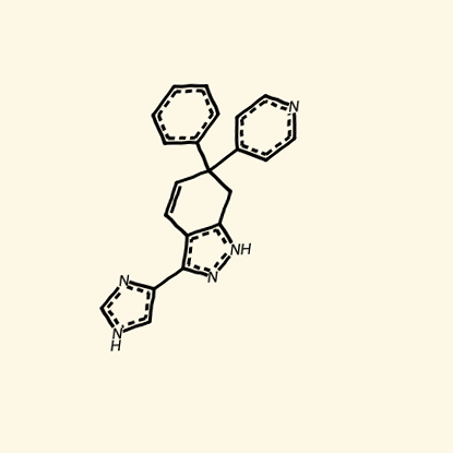 C1=CC(c2ccccc2)(c2ccncc2)Cc2[nH]nc(-c3c[nH]cn3)c21